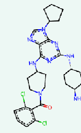 N[C@H]1CC[C@H](Nc2nc(NC3CCN(C(=O)c4c(Cl)cccc4Cl)CC3)c3ncn(C4CCCC4)c3n2)CC1